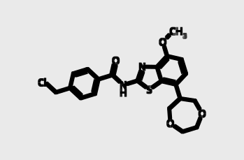 COc1ccc(C2COCCOC2)c2sc(NC(=O)c3ccc(CCl)cc3)nc12